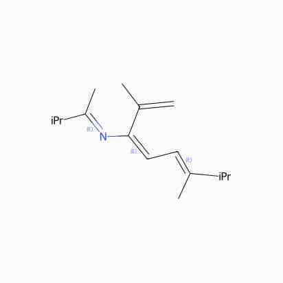 C=C(C)C(=C\C=C(/C)C(C)C)/N=C(\C)C(C)C